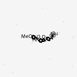 COc1ccc(C(=O)Nc2ccc3c(c2)C(=O)N(c2ccc(C(C)C(=O)OC(C)(C)C)cc2)C3)cc1